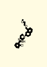 COCCOCc1cccc2c1CC(N1CCc3nc(-c4ccccc4Cl)[nH]c3C1)CC2